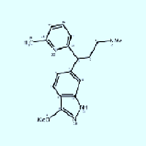 CNCCC(c1ccc2c(OC)n[nH]c2c1)c1cccc(C)n1